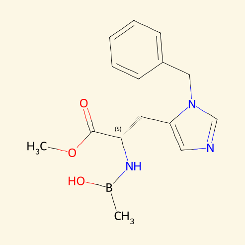 COC(=O)[C@H](Cc1cncn1Cc1ccccc1)NB(C)O